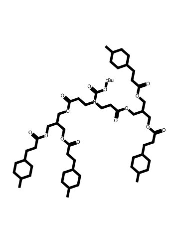 CC1CCC(CCC(=O)OCC(COC(=O)CCC2CCC(C)CC2)COC(=O)CCN(CCC(=O)OCC(COC(=O)CCC2CCC(C)CC2)COC(=O)CCC2CCC(C)CC2)C(=O)OC(C)(C)C)CC1